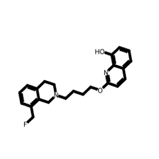 Oc1cccc2ccc(OCCCCN3CCc4cccc(CF)c4C3)nc12